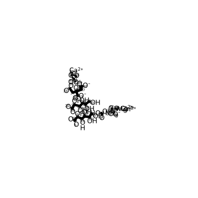 N.O=C(O)O.O=C([O-])C(O)C(O)C(O)C(O)CO.O=C([O-])C(O)C(O)C(O)C(O)CO.O=C([O-])CC(O)(CC(=O)[O-])C(=O)[O-].O=S(=O)([O-])[O-].O=S(=O)([O-])[O-].[Ca+2].[Ca+2].[K+].[Mg+2].[Zn+2]